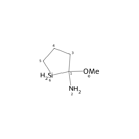 COC1(N)CCC[SiH2]1